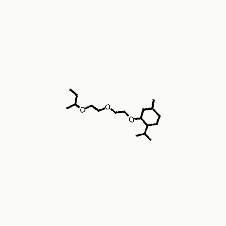 CCC(C)OCCOCCOC1CC(C)CCC1C(C)C